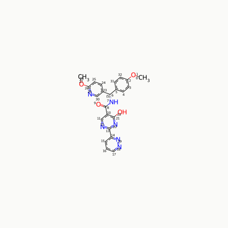 COc1ccc([C@H](NC(=O)c2cnc(-c3cccnn3)nc2O)c2ccc(OC)nc2)cc1